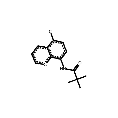 CC(C)(C)C(=O)Nc1ccc(Cl)c2cccnc12